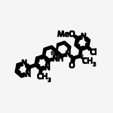 COc1cc([C@H](C)C(=O)N2CCC[C@@]3(CCc4cc(-c5ncccn5)c(C)nc4N3)C2)c(Cl)cn1